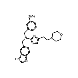 COc1cccc(CN(Cc2ccc3nc[nH]c3c2)c2nc(CCN3CCOCC3)cs2)c1